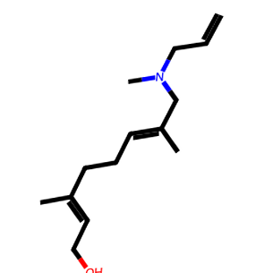 C=CCN(C)CC(C)=CCCC(C)=CCO